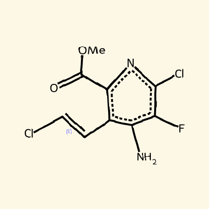 COC(=O)c1nc(Cl)c(F)c(N)c1/C=C/Cl